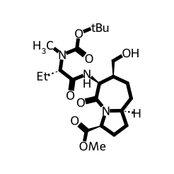 CC[C@@H](C(=O)N[C@@H]1C(=O)N2[C@@H](CC[C@@H]1CO)CC[C@H]2C(=O)OC)N(C)C(=O)OC(C)(C)C